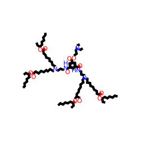 CCCCCCC(CC)OCC(C=O)CCCCCCCN(CCCCCCCCC(=O)OC(CC)CCCCCC)CCCNC(=O)c1cc(C(=O)NCCCN(CCCCCCCCC(=O)OC(CC)CCCCCC)CCCCCCCCC(=O)OC(CC)CCCCCC)cc(C(=O)OCCCN(CC)CC)c1